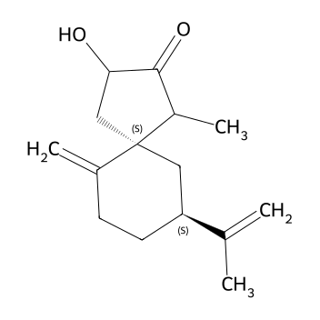 C=C(C)[C@H]1CCC(=C)[C@]2(CC(O)C(=O)C2C)C1